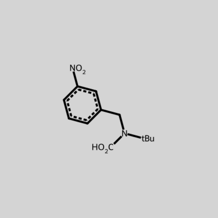 CC(C)(C)N(Cc1cccc([N+](=O)[O-])c1)C(=O)O